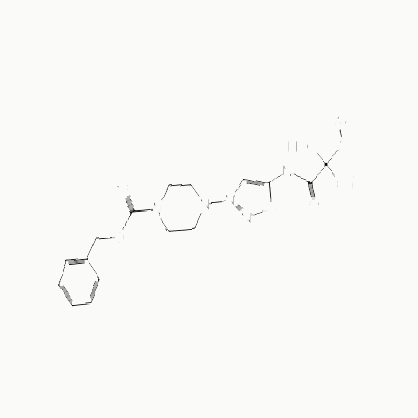 CC(=O)SC(C)(C)C(=O)[N-]c1c[n+](N2CCN(C(=O)OCc3ccccc3)CC2)no1